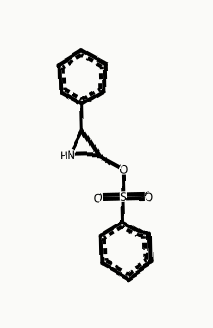 O=S(=O)(OC1NC1c1ccccc1)c1ccccc1